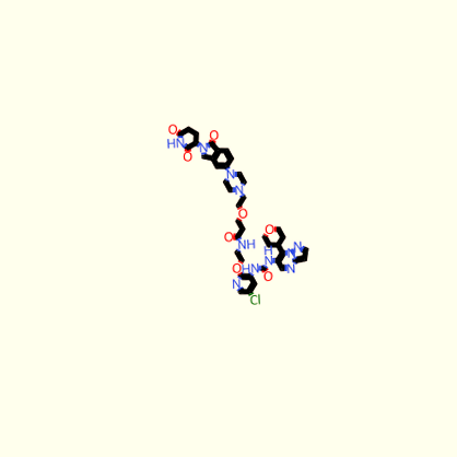 O=C(CCOCCN1CCN(c2ccc3c(c2)CN(C2CCC(=O)NC2=O)C3=O)CC1)NCCOc1ncc(Cl)cc1NC(=O)Nc1cnc2ccnn2c1C1CCOCC1